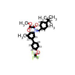 COC(=O)C(=O)N(Cc1ccc(C(C)(C)C)cc1)c1cc(C)cc(-c2ccc(OC(F)(F)F)cc2)c1